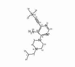 C[C](C)CN1CCN(c2ncnc(C#C[Si](C)(C)C)c2N)CC1